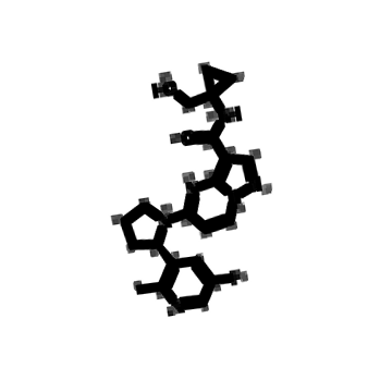 Cc1ncc(F)cc1[C@H]1CCCN1c1ccn2ncc(C(=O)NC3(CO)CC3)c2n1